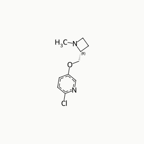 CN1CC[C@@H]1COc1ccc(Cl)nc1